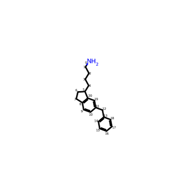 NCCCCC1CCc2ccc(Cc3ccccc3)cc21